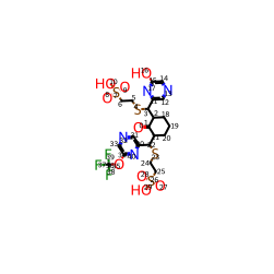 O=C1C(C(SCCS(=O)(=O)O)c2cncc(O)n2)CCCC1C(SCCS(=O)(=O)O)c1cncc(OC(F)(F)F)n1